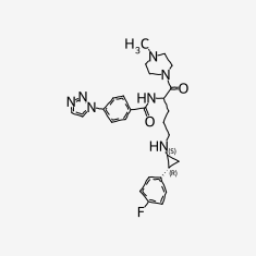 CN1CCN(C(=O)C(CCCN[C@H]2C[C@@H]2c2ccc(F)cc2)NC(=O)c2ccc(-n3ccnn3)cc2)CC1